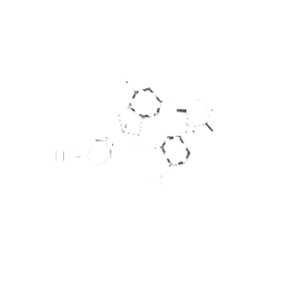 O=C1CCC(=O)N1c1ccc(Cl)c(O[C@H]2c3cc(Cl)cc(Cl)c3C[C@H]2N2CC[C@@H](O)C2)c1